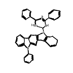 C1=Cc2c(n(C3NC(c4ccccc4)=NC(c4ccccc4)N3)c3cc4c5ccccc5n(-c5ccccc5)c4cc23)CC1